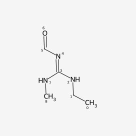 CCN/C(=N/C=O)NC